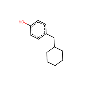 Oc1ccc(CC2CCCCC2)cc1